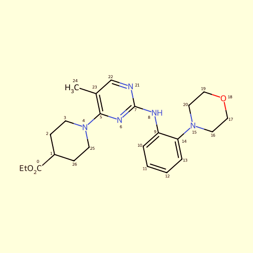 CCOC(=O)C1CCN(c2nc(Nc3ccccc3N3CCOCC3)ncc2C)CC1